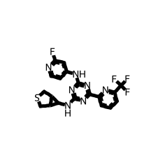 Fc1cc(Nc2nc(NC3C4CSCC43)nc(-c3cccc(C(F)(F)F)n3)n2)ccn1